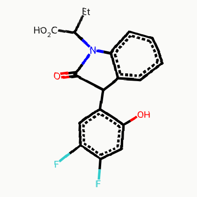 CCC(C(=O)O)N1C(=O)C(c2cc(F)c(F)cc2O)c2ccccc21